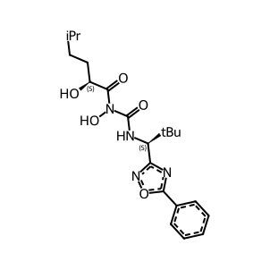 CC(C)CC[C@H](O)C(=O)N(O)C(=O)N[C@H](c1noc(-c2ccccc2)n1)C(C)(C)C